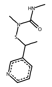 CNC(=O)N(C)SC(C)c1cccnc1